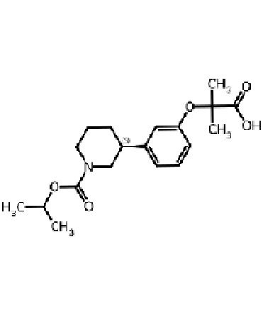 CC(C)OC(=O)N1CCC[C@@H](c2cccc(OC(C)(C)C(=O)O)c2)C1